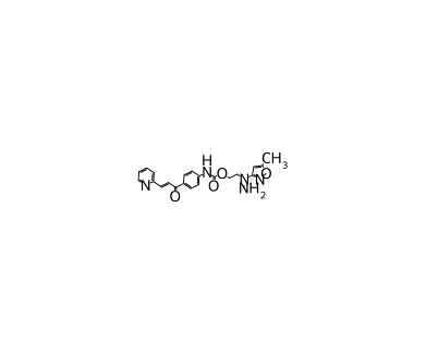 Cc1cc(N(N)CCOC(=O)Nc2ccc(C(=O)C=Cc3ccccn3)cc2)no1